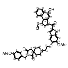 COc1ccc(CN2C(=O)CC3(CCN(CCOc4cc5cc(C(=O)N6C[C@@H](CCl)c7c6cc(O)c6ccccc76)[nH]c5cc4OC)CC3)C2=O)cc1